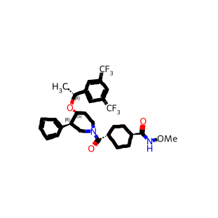 CONC(=O)[C@H]1CC[C@H](C(=O)N2CC[C@H](O[C@H](C)c3cc(C(F)(F)F)cc(C(F)(F)F)c3)[C@H](c3ccccc3)C2)CC1